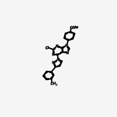 COc1ccc(-n2cnc3c(-n4ccc(-c5cccc(C)c5)n4)nc(Cl)nc32)cc1